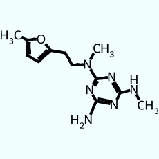 CNc1nc(N)nc(N(C)CCc2ccc(C)o2)n1